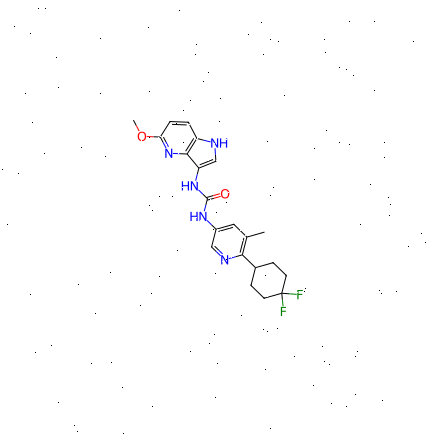 COc1ccc2[nH]cc(NC(=O)Nc3cnc(C4CCC(F)(F)CC4)c(C)c3)c2n1